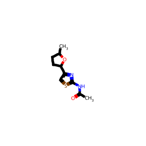 CC(=O)Nc1nc(C2CCC(C)O2)cs1